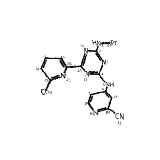 CC(C)Nc1nc(Nc2ccnc(C#N)c2)nc(-c2cccc(Cl)n2)n1